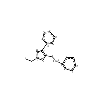 CCn1cc(CNc2ccccc2)c(-c2ccccc2)n1